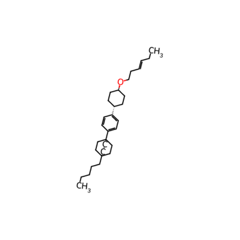 CCC=CCCO[C@H]1CC[C@H](c2ccc(C34CCC(CCCCC)(CC3)CC4)cc2)CC1